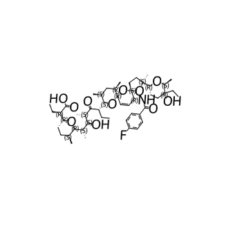 CCC(C(=O)[C@@H](C)[C@@H](O)[C@H](C)[C@@H]1O[C@@H]([C@@H](CC)C(=O)O)CC[C@@H]1C)[C@H]1O[C@]2(C=C[C@@H](NC(=O)c3ccc(F)cc3)[C@]3(CC[C@@](C)([C@H]4CC[C@](O)(CC)[C@H](C)O4)O3)O2)[C@H](C)C[C@@H]1C